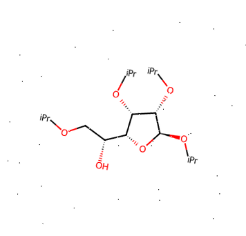 CC(C)OC[C@@H](O)[C@H]1O[C@H](OC(C)C)[C@@H](OC(C)C)[C@H]1OC(C)C